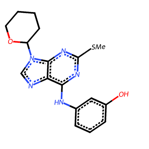 CSc1nc(Nc2cccc(O)c2)c2ncn(C3CCCCO3)c2n1